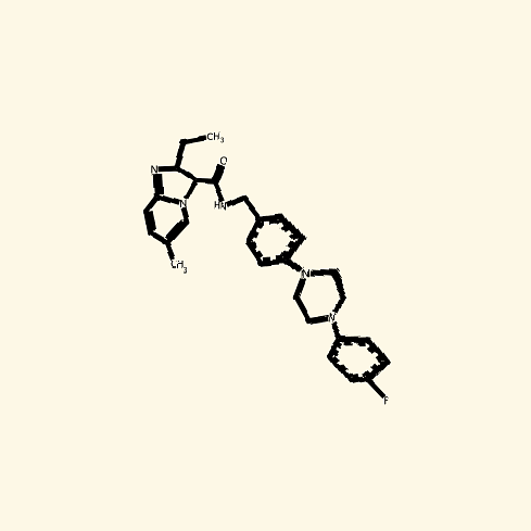 CCC1N=C2C=CC(C)=CN2C1C(=O)NCc1ccc(N2CCN(c3ccc(F)cc3)CC2)cc1